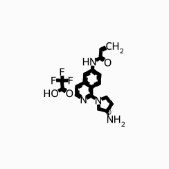 C=CC(=O)Nc1ccc2c(N3CC[C@@H](N)C3)nccc2c1.O=C(O)C(F)(F)F